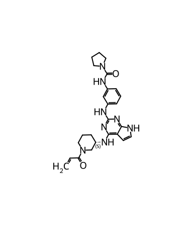 C=CC(=O)N1CCC[C@H](Nc2nc(Nc3cccc(NC(=O)N4CCCC4)c3)nc3[nH]ccc23)C1